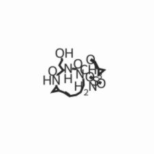 CN1CCCC/C=C/C2CC2NC(=O)C(CCO)NC1=O.NS(=O)(=O)C1CC1=C=O